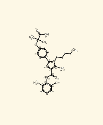 CCCCCn1c(-c2ccc(SC(C)(C)C(=O)O)cc2)nc(C(=O)Nc2c(C)cccc2Cl)c1C